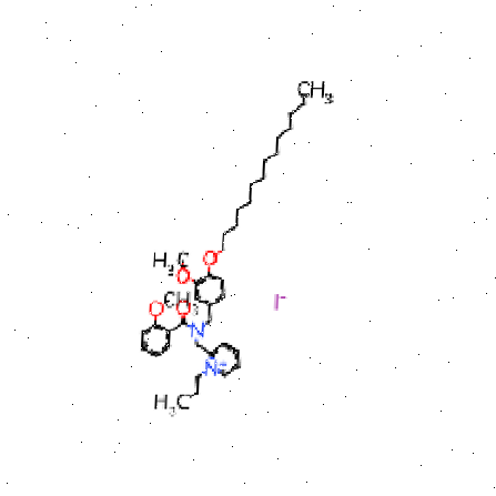 CCCCCCCCCCCCCCOc1ccc(CN(Cc2cccc[n+]2CCC)C(=O)c2ccccc2OC)cc1OC.[I-]